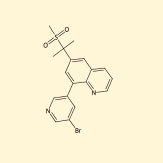 CC(C)(c1cc(-c2cncc(Br)c2)c2ncccc2c1)S(C)(=O)=O